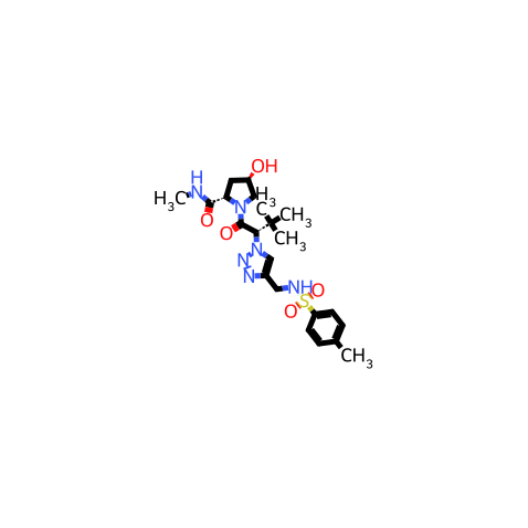 CNC(=O)[C@@H]1C[C@@H](O)CN1C(=O)[C@@H](n1cc(CNS(=O)(=O)c2ccc(C)cc2)nn1)C(C)(C)C